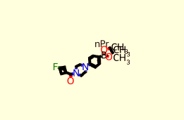 CCCC1(C)OB(c2ccc(N3CCN(C(=O)C45CC(F)(C4)C5)CC3)cc2)OC1(C)C